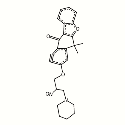 CC1(C)c2cc(OCC(CN3CCCCC3)N=O)c#cc2C(=O)c2c1oc1ccccc21